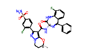 C[C@@H]1CCn2nc(-c3ccc(S(N)(=O)=O)cc3F)c(C(=O)N[C@H]3N=C(c4ccccc4)c4cccc(F)c4NC3=O)c2O1